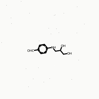 O=Cc1ccc(NCC(O)CO)cc1